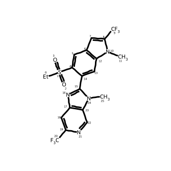 CCS(=O)(=O)c1cc2cc(C(F)(F)F)n(C)c2cc1-c1nc2cc(C(F)(F)F)ncc2n1C